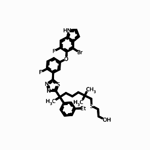 CCc1cccc(C(C)(CCCC(C)(C)CSCCO)c2nnc(-c3cc(Oc4c(F)cc5[nH]ccc5c4Br)ccc3F)s2)c1